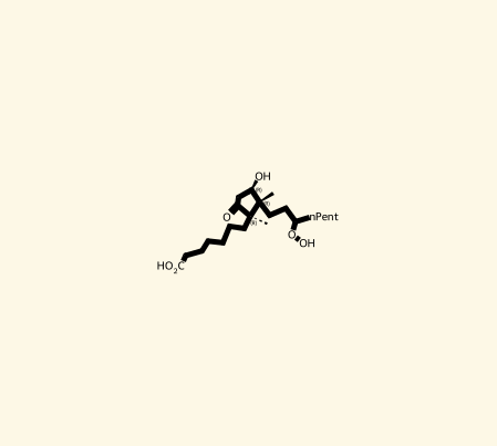 CCCCCC(CC[C@@]1(C)[C@H](O)CC(=O)[C@]1(C)CCCCCCC(=O)O)OO